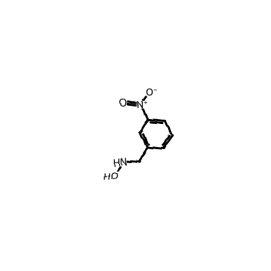 O=[N+]([O-])c1cccc(CNO)c1